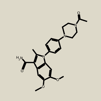 COc1cc2c(C(N)=O)c(C)n(-c3ccc(N4CCN(C(C)=O)CC4)cc3)c2cc1OC